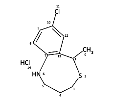 CC1SCCCNc2ccc(Cl)cc21.Cl